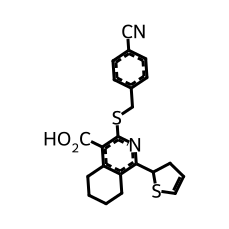 N#Cc1ccc(CSc2nc(C3CC=CS3)c3c(c2C(=O)O)CCCC3)cc1